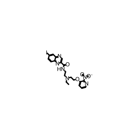 CCN(CCNC(=O)c1cnc2cc(I)ccc2n1)CCOc1cccnc1[N+](=O)[O-]